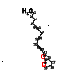 CCCCCC#CCC#CCC#CCOC1CCCCO1